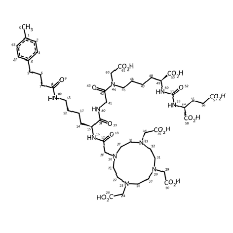 Cc1ccc(CCCC(=O)NCCCC[C@H](NC(=O)CN2CCN(CC(=O)O)CCN(CC(=O)O)CCN(CC(=O)O)CC2)C(=O)NCC(=O)N(CCCC[C@H](NC(=O)N[C@@H](CCC(=O)O)C(=O)O)C(=O)O)CC(=O)O)cc1